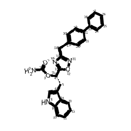 NC(=O)O[C@@H](Cc1c[nH]c2ccccc12)c1nc(Cc2ccc(-c3ccccc3)cc2)no1